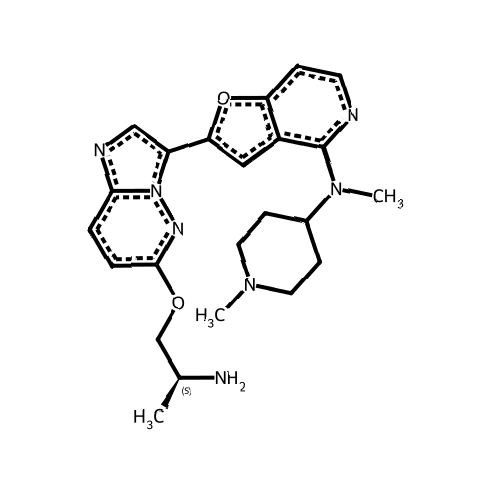 C[C@H](N)COc1ccc2ncc(-c3cc4c(N(C)C5CCN(C)CC5)nccc4o3)n2n1